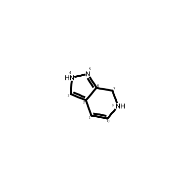 C1=Cc2c[nH]nc2CN1